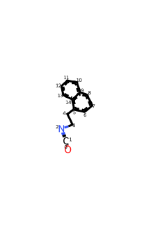 O=C=NCCc1cccc2ccccc12